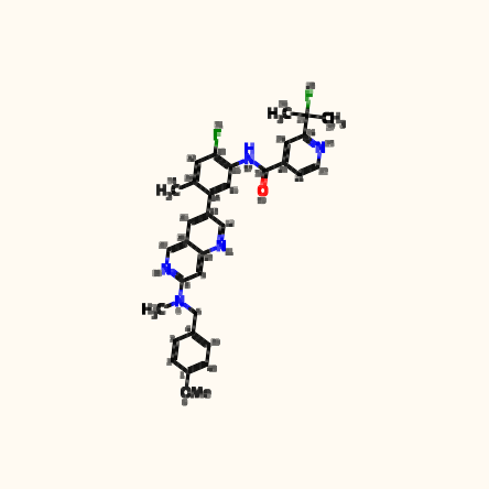 COc1ccc(CN(C)c2cc3ncc(-c4cc(NC(=O)c5ccnc(C(C)(C)F)c5)c(F)cc4C)cc3cn2)cc1